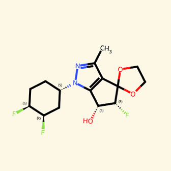 Cc1nn([C@H]2CC[C@H](F)[C@H](F)C2)c2c1C1(OCCO1)[C@H](F)[C@@H]2O